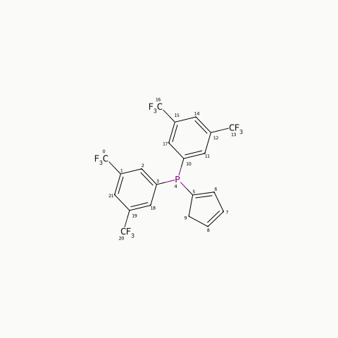 FC(F)(F)c1cc(P(C2=CC=CC2)c2cc(C(F)(F)F)cc(C(F)(F)F)c2)cc(C(F)(F)F)c1